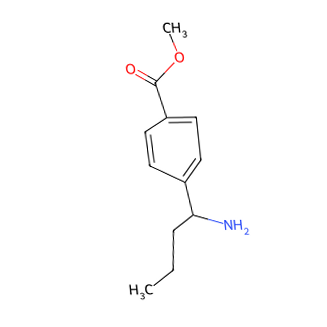 CCCC(N)c1ccc(C(=O)OC)cc1